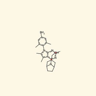 Bc1cc(C)c(-n2c(C)c(C)c3c(N4C5CCC4CC(CO)C5)nc(C)nc32)c(C)c1